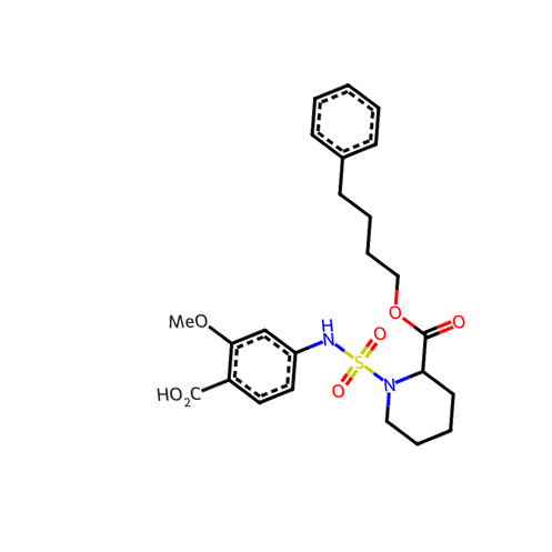 COc1cc(NS(=O)(=O)N2CCCCC2C(=O)OCCCCc2ccccc2)ccc1C(=O)O